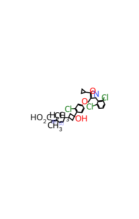 C=C(/C=C\C(C)=C(/C)C(=O)O)[C@H]1C[C@](O)(c2ccc(OCc3c(-c4c(Cl)cccc4Cl)noc3C3CC3)cc2Cl)C1